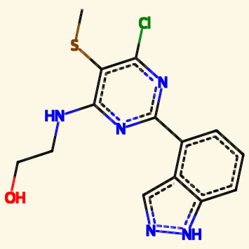 CSc1c(Cl)nc(-c2cccc3[nH]ncc23)nc1NCCO